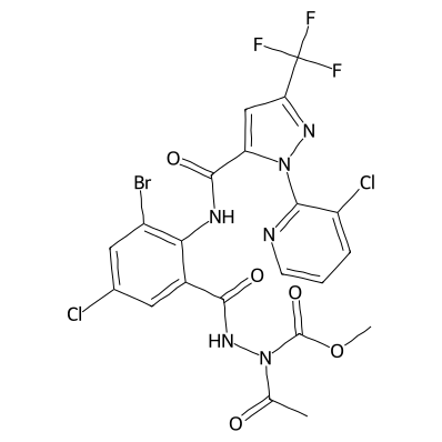 COC(=O)N(NC(=O)c1cc(Cl)cc(Br)c1NC(=O)c1cc(C(F)(F)F)nn1-c1ncccc1Cl)C(C)=O